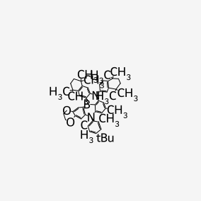 Cc1cc2c3c(c1)N(c1c(C)cc(C(C)(C)C)cc1C)c1cc4c(cc1B3c1cc3c(cc1N2c1ccc2c(c1)C(C)(C)CCC2(C)C)C(C)(C)CCC3(C)C)OCCO4